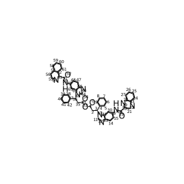 O=C(CC(c1ccccc1)n1cnc2ccc(NC(=O)c3cnc4ccccc4n3)cc21)OC(=O)CC(c1ccccc1)n1cnc2ccc(NC(=O)c3nccc4ccccc34)cc21